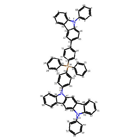 c1ccc(-n2c3ccccc3c3cc(-c4ccc(S(c5ccccc5)(c5ccccc5)c5ccc(-n6c7ccccc7c7cc8c(cc76)c6ccccc6n8-c6ccccc6)cc5)cc4)ccc32)cc1